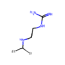 CCC(CC)NCCNC(=N)N